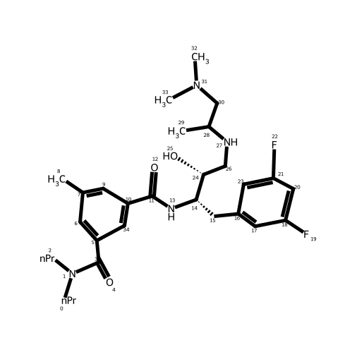 CCCN(CCC)C(=O)c1cc(C)cc(C(=O)N[C@@H](Cc2cc(F)cc(F)c2)[C@H](O)CNC(C)CN(C)C)c1